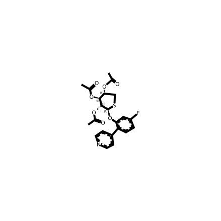 CC(=O)O[C@@H]1[C@@H](OC(C)=O)[C@H](OC(C)=O)CS[C@H]1Oc1cc(F)ccc1-c1ccncc1